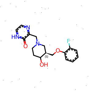 O=c1[nH]ccnc1CN1CCC(O)[C@H](COc2ccccc2F)C1